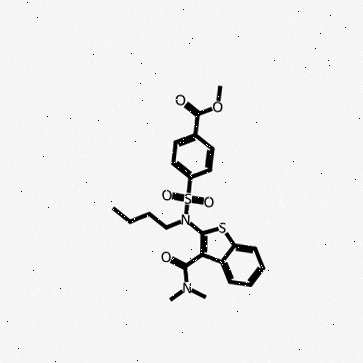 CCCCN(c1sc2ccccc2c1C(=O)N(C)C)S(=O)(=O)c1ccc(C(=O)OC)cc1